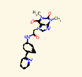 Cn1c(=O)c2c(ncn2CC(=O)Nc2ccc(-c3ccccn3)cc2)n(C)c1=O